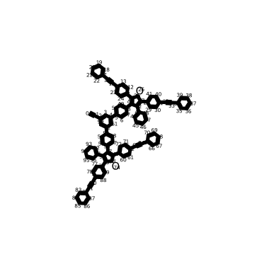 C#Cc1cc(-c2ccc(C3=C(c4ccc(C#Cc5ccccc5)cc4)C(=O)C(c4ccc(C#Cc5ccccc5)cc4)=C3c3ccccc3)cc2)cc(-c2ccc(C3=C(c4ccc(C#Cc5ccccc5)cc4)C(=O)C(c4ccc(C#Cc5ccccc5)cc4)=C3c3ccccc3)cc2)c1